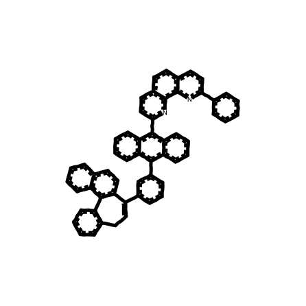 C1=C(c2cccc(-c3c4ccccc4c(-c4ccc5ccc6ccc(-c7ccccc7)nc6c5n4)c4ccccc34)c2)c2ccc3ccccc3c2-c2ccccc2C1